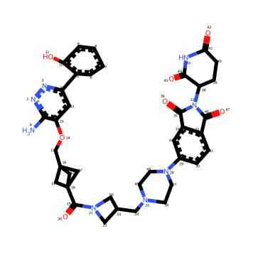 Nc1nnc(-c2ccccc2O)cc1OCC12CC(C(=O)N3CC(CN4CCN(c5ccc6c(c5)C(=O)N(C5CCC(=O)NC5=O)C6=O)CC4)C3)(C1)C2